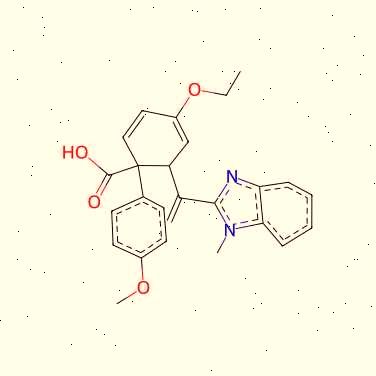 C=C(c1nc2ccccc2n1C)C1C=C(OCC)C=CC1(C(=O)O)c1ccc(OC)cc1